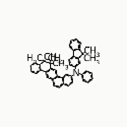 CC1(C)c2ccccc2-c2ccc(N(c3ccccc3)c3ccc4ccc5cc6c(cc5c4c3)C(C)(C)C(C)(C)c3ccccc3-6)cc21